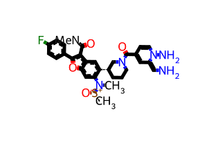 CNC(=O)c1c(-c2ccc(F)cc2)oc2cc(N(C)[S@+](C)[O-])c([C@H]3CCCN(C(=O)C4=C/C(=C/N)N(N)C=C4)C3)cc12